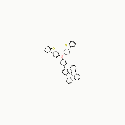 c1ccc2c(c1)-c1ccccc1C21c2ccccc2-c2ccc(-c3ccc(B(c4ccc5c(c4)sc4ccccc45)c4ccc5c(c4)sc4ccccc45)cc3)cc21